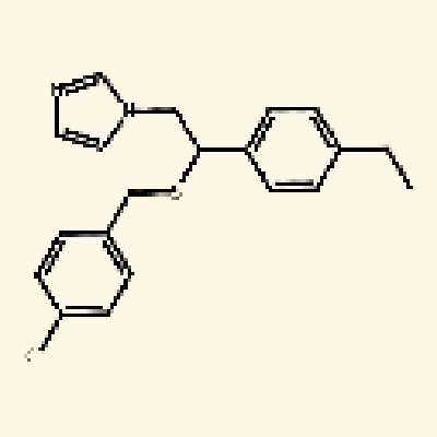 CCc1ccc(C(Cn2ccnc2)SCc2ccc(Cl)cc2)cc1